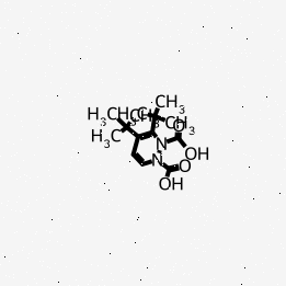 CC(C)(C)C1=C(C(C)(C)C)N(C(=O)O)N(C(=O)O)C=C1